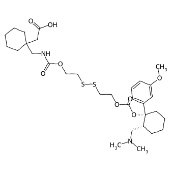 COc1cccc([C@@]2(OC(=O)OCCSSCCOC(=O)NCC3(CC(=O)O)CCCCC3)CCCC[C@@H]2CN(C)C)c1